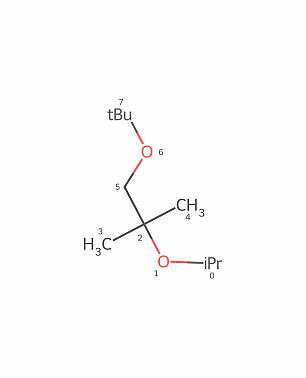 CC(C)OC(C)(C)COC(C)(C)C